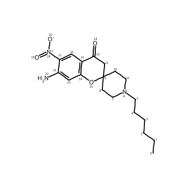 CCCCCCN1CCC2(CC1)CC(=O)c1cc([N+](=O)[O-])c(N)cc1O2